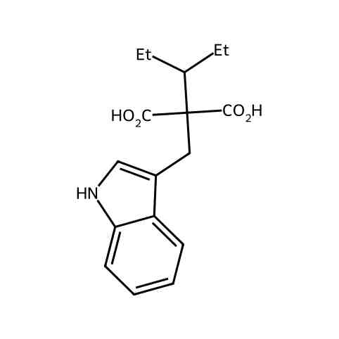 CCC(CC)C(Cc1c[nH]c2ccccc12)(C(=O)O)C(=O)O